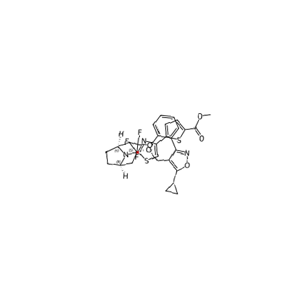 COC(=O)c1ccc(-c2csc(N3[C@@H]4CC[C@H]3C[C@H](OCc3c(-c5ccccc5OC(F)(F)F)noc3C3CC3)C4)n2)s1